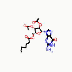 CCCCCC(=O)OC[C@H]1O[C@@H](n2cnc3c(=O)[nH]c(N)nc32)[C@H](OC(C)=O)[C@@H]1OC(C)=O